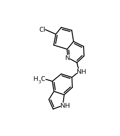 Cc1cc(Nc2ccc3ccc(Cl)cc3n2)cc2[nH]ccc12